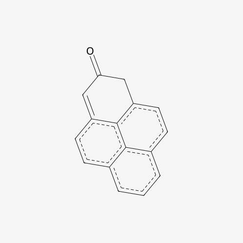 O=C1C=c2ccc3cccc4ccc(c2c43)C1